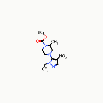 CC1CN(c2c([N+](=O)[O-])cnn2CC(F)(F)F)CCN1C(=O)OC(C)(C)C